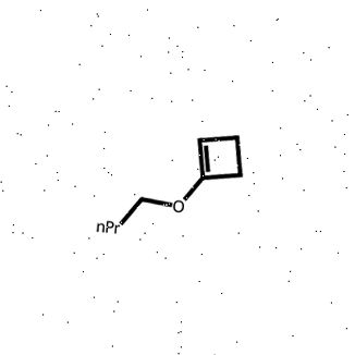 CCCCOC1=CCC1